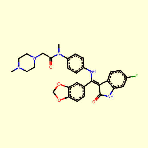 CN1CCN(CC(=O)N(C)c2ccc(NC(=C3C(=O)Nc4cc(F)ccc43)c3ccc4c(c3)OCO4)cc2)CC1